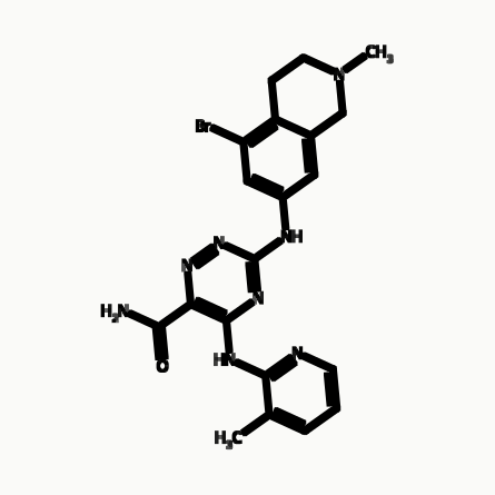 Cc1cccnc1Nc1nc(Nc2cc(Br)c3c(c2)CN(C)CC3)nnc1C(N)=O